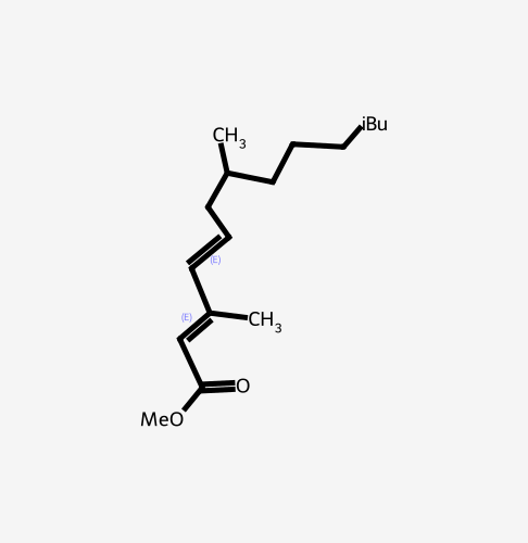 CCC(C)CCCC(C)C/C=C/C(C)=C/C(=O)OC